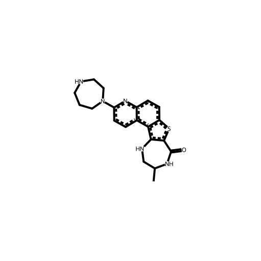 CC1CNc2c(sc3ccc4nc(N5CCCNCC5)ccc4c23)C(=O)N1